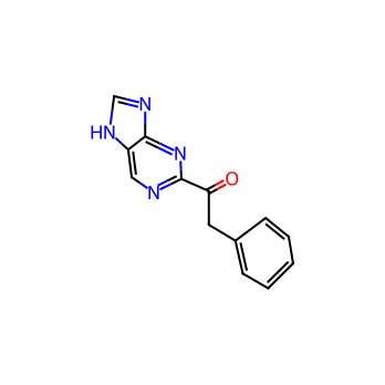 O=C(Cc1ccccc1)c1ncc2[nH]cnc2n1